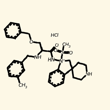 Cc1cccc(CNC(COCc2ccccc2)C(=O)N[N+]2(S(C)(=O)=O)CC3(CCNCC3)c3ccccc32)c1.Cl